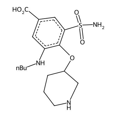 CCCCNc1cc(C(=O)O)cc(S(N)(=O)=O)c1OC1CCCNC1